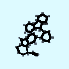 N#CC1CC=Cc2oc3ccc(-c4ccccc4-n4c5ccccc5c5ccccc54)cc3c21